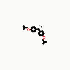 C=C(C)COc1ccc(C(CC)c2ccc(OCC(=C)C)cc2)cc1